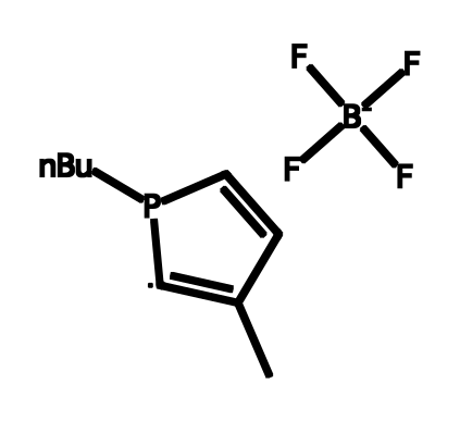 CCCCp1[c]c(C)cc1.F[B-](F)(F)F